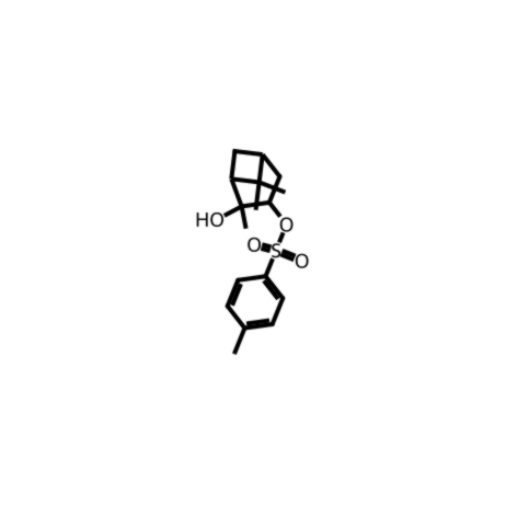 Cc1ccc(S(=O)(=O)OC2CC3CC(C3(C)C)C2(C)O)cc1